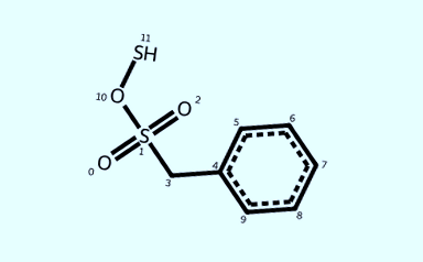 O=S(=O)(Cc1ccccc1)OS